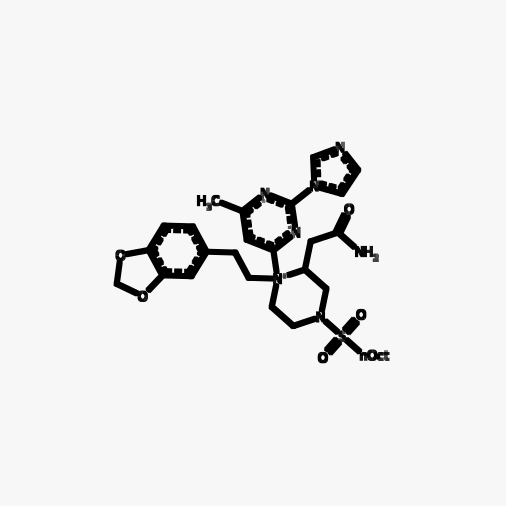 CCCCCCCCS(=O)(=O)N1CC[N+](CCc2ccc3c(c2)OCO3)(c2cc(C)nc(-n3ccnc3)n2)C(CC(N)=O)C1